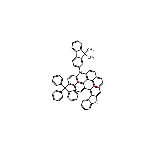 CC1(C)c2ccccc2-c2ccc(N(c3ccc(C(c4ccccc4)(c4ccccc4)c4ccccc4)cc3)c3ccc4ccccc4c3-c3ccccc3-c3cccc4oc5ccccc5c34)cc21